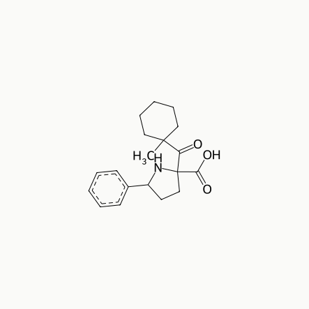 CC1(C(=O)C2(C(=O)O)CCC(c3ccccc3)N2)CCCCC1